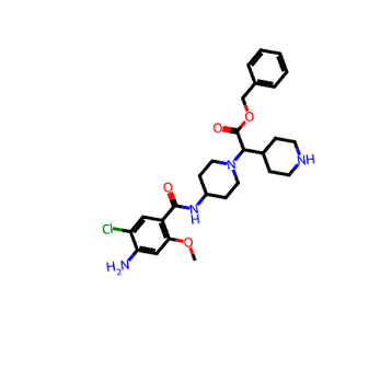 COc1cc(N)c(Cl)cc1C(=O)NC1CCN(C(C(=O)OCc2ccccc2)C2CCNCC2)CC1